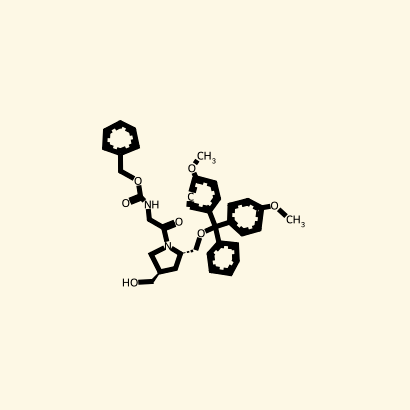 COc1ccc(C(OC[C@@H]2C[C@@H](CO)CN2C(=O)CNC(=O)OCc2ccccc2)(c2ccccc2)c2ccc(OC)cc2)cc1